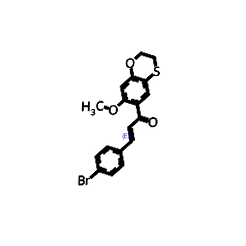 COc1cc2c(cc1C(=O)/C=C/c1ccc(Br)cc1)SCCO2